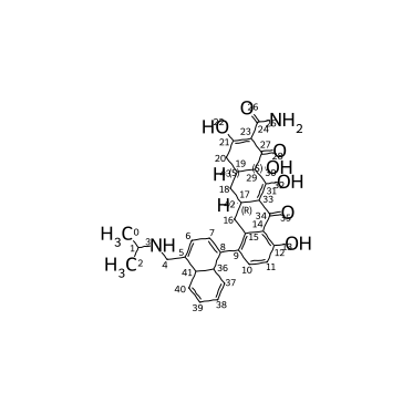 CC(C)NCC1=CC=C(c2ccc(O)c3c2C[C@H]2C[C@H]4CC(O)=C(C(N)=O)C(=O)[C@@]4(O)C(O)=C2C3=O)C2C=CC=CC12